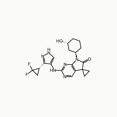 O=C1N([C@@H]2CCC[C@@H](O)C2)c2nc(Nc3c[nH]nc3[C@@H]3CC3(F)F)ncc2C12CC2